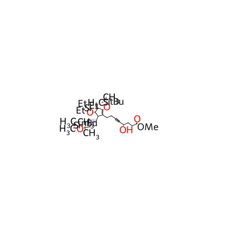 CCCCC(C)(C/C=C/C1C(CCC#CC(O)CCC(=O)OC)=C(O[Si](C)(C)C(C)(C)C)CC1O[Si](CC)(CC)CC)O[Si](C)(C)C